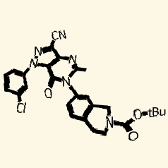 Cc1nc2c(C#N)nn(-c3cccc(Cl)c3)c2c(=O)n1-c1ccc2c(c1)CN(C(=O)OC(C)(C)C)CC2